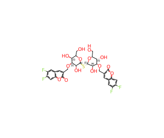 O=c1oc2cc(F)c(F)cc2cc1COC1[C@@H](O)C(CO)O[C@@H](S[C@@H]2OC(CO)[C@H](O)[C@H](OCc3cc4cc(F)c(F)cc4oc3=O)C2O)[C@@H]1O